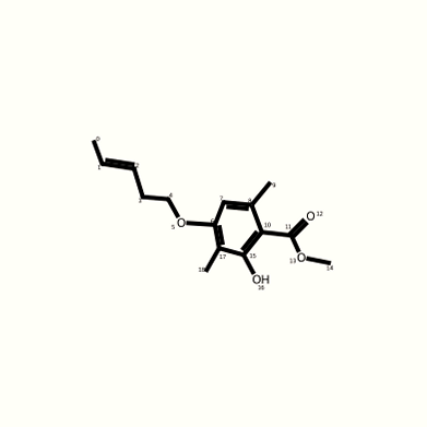 CC=CCCOc1cc(C)c(C(=O)OC)c(O)c1C